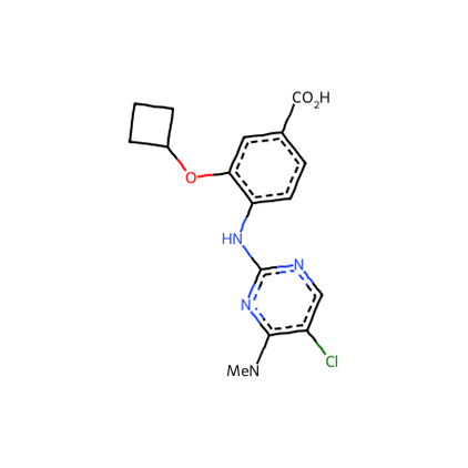 CNc1nc(Nc2ccc(C(=O)O)cc2OC2CCC2)ncc1Cl